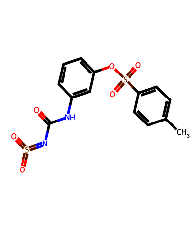 Cc1ccc(S(=O)(=O)Oc2cccc(NC(=O)N=S(=O)=O)c2)cc1